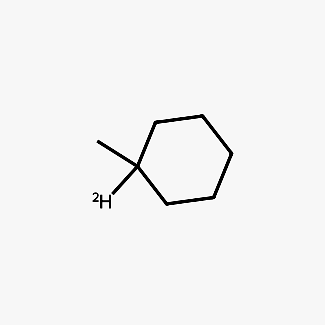 [2H]C1(C)CCCCC1